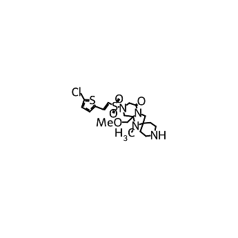 COCC12CN(S(=O)(=O)/C=C/c3ccc(Cl)s3)CC(=O)N1CC1(CCNCC1)N2C